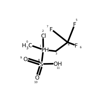 C[PH](Cl)(CC(F)(F)F)S(=O)(=O)O